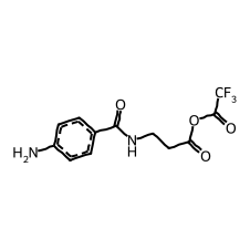 Nc1ccc(C(=O)NCCC(=O)OC(=O)C(F)(F)F)cc1